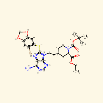 CCOC(=O)[C@H]1C[C@@H](CCn2c(Sc3cc4c(cc3Br)OCO4)nc3c(N)ncnc32)CCN1C(=O)OC(C)(C)C